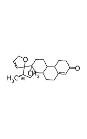 C[C@@H]1CC2C3CCC4=CC(=O)CCC4C3CCC2(C)C12C=CCO2